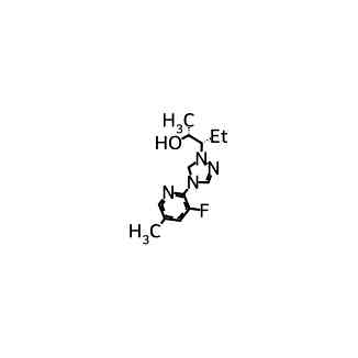 CC[C@@H]([C@@H](C)O)N1CN(c2ncc(C)cc2F)C=N1